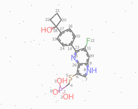 O=P(O)(O)CSc1c[nH]c2cc(F)c(-c3ccc(C4(O)CCC4)cc3)nc12